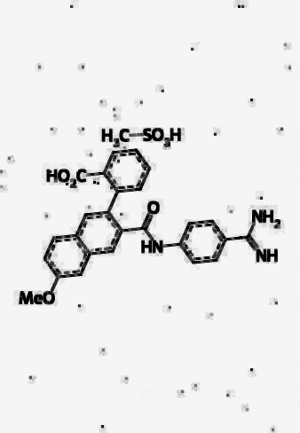 COc1ccc2cc(-c3ccccc3C(=O)O)c(C(=O)Nc3ccc(C(=N)N)cc3)cc2c1.CS(=O)(=O)O